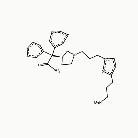 CNCCCc1ccc(CCCN2CC[C@@H](C(C(N)=O)(c3ccccc3)c3ccccc3)C2)s1